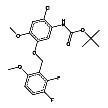 COc1cc(Cl)c(NC(=O)OC(C)(C)C)cc1OCc1c(OC)ccc(F)c1F